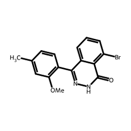 COc1cc(C)ccc1-c1n[nH]c(=O)c2c(Br)cccc12